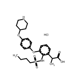 CCCCS(=O)(=O)Nc1c(Oc2ccc(OC3CCNCC3)cc2)cccc1C(C)C(=O)O.Cl